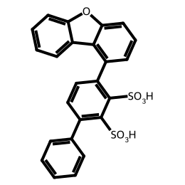 O=S(=O)(O)c1c(-c2ccccc2)ccc(-c2cccc3oc4ccccc4c23)c1S(=O)(=O)O